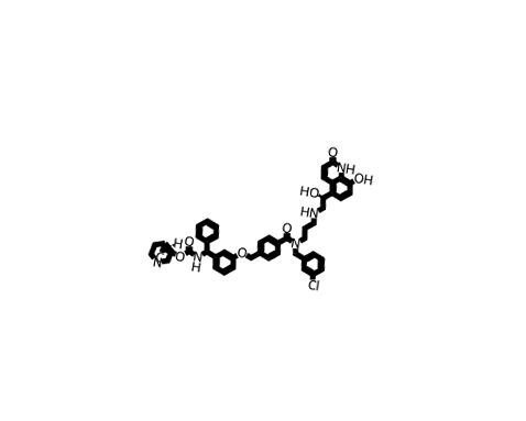 O=C(NC(c1ccccc1)c1cccc(OCc2ccc(C(=O)N(CCCNC[C@@H](O)c3ccc(O)c4[nH]c(=O)ccc34)Cc3cccc(Cl)c3)cc2)c1)O[C@H]1CN2CCC1CC2